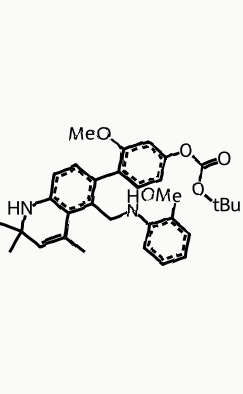 COc1ccccc1NCc1c(-c2ccc(OC(=O)OC(C)(C)C)cc2OC)ccc2c1C(C)=CC(C)(C)N2